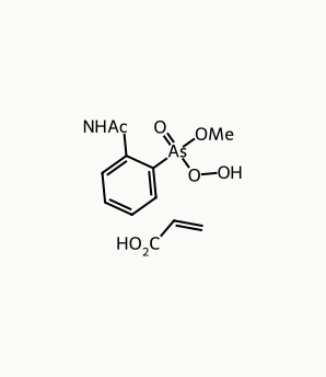 C=CC(=O)O.CO[As](=O)(OO)c1ccccc1NC(C)=O